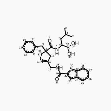 CC(C)CC(NC(=O)C1(Cc2ccccc2)CC(CNC(=O)c2cc3ccccc3s2)=NO1)B(O)O